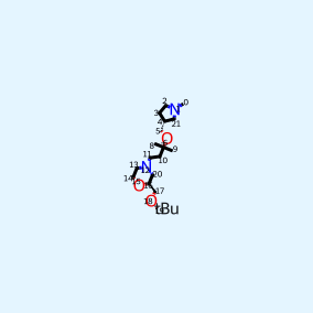 CN1CC[C@@H](COC(C)(C)CCN2CCO[C@H](COC(C)(C)C)C2)C1